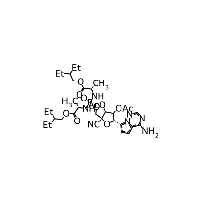 CCC(CC)COC(=O)[C@H](C)NP(=O)(N[C@@H](C)C(=O)OCC(CC)CC)OC[C@@]1(C#N)O[C@@H](c2ccc3c(N)ncnn23)[C@H](OC(C)=O)[C@@H]1OC(C)=O